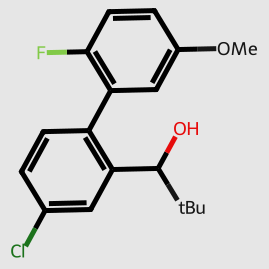 COc1ccc(F)c(-c2ccc(Cl)cc2C(O)C(C)(C)C)c1